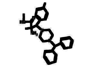 CNC(=O)C(C)(N)C(c1ccc(C)cc1)N1CCN(C(c2ccccc2)c2ccccc2)CC1